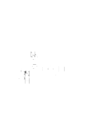 CCOC(=O)CCc1cc(CCNC(=O)c2ccccc2)cc(Cc2cccnc2)c1